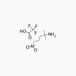 CC(C)(N)CCC[N+](=O)[O-].O=C(O)C(F)(F)F